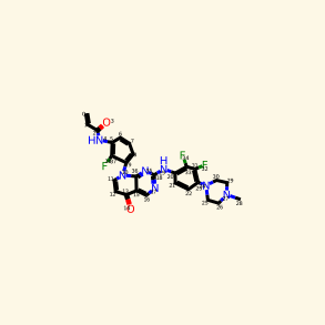 C=CC(=O)Nc1cccc(-n2ccc(=O)c3cnc(Nc4ccc(N5CCN(C)CC5)c(F)c4F)nc32)c1F